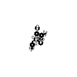 O=C(N[C@@H](Cc1ccc(C(F)(F)F)cc1)C(=O)Nc1ccc(N2CCOCC2)cc1)C1CCCCN1S(=O)(=O)c1cccc(C(F)(F)F)c1